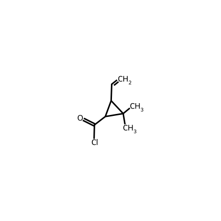 C=CC1C(C(=O)Cl)C1(C)C